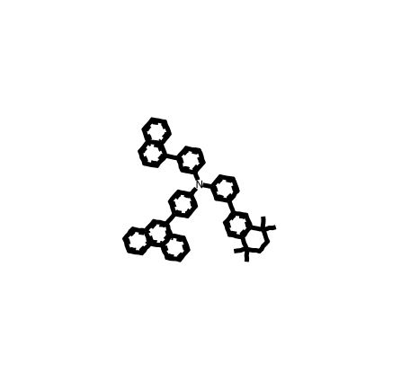 CC1(C)CCC(C)(C)c2cc(-c3cccc(N(c4ccc(-c5cc6ccccc6c6ccccc56)cc4)c4cccc(-c5cccc6ccccc56)c4)c3)ccc21